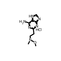 CON(C)CCc1nc(N)c2[nH]cnc2n1.Cl